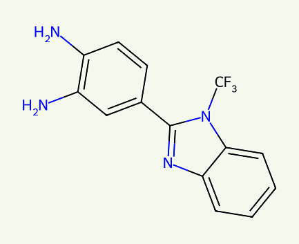 Nc1ccc(-c2nc3ccccc3n2C(F)(F)F)cc1N